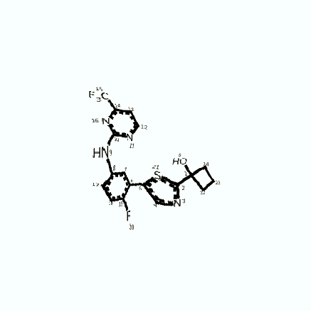 OC1(c2ncc(-c3cc(Nc4nccc(C(F)(F)F)n4)ccc3F)s2)CCC1